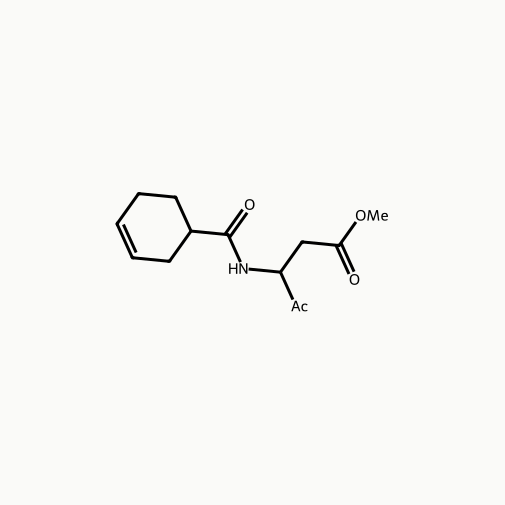 COC(=O)CC(NC(=O)C1CC=CCC1)C(C)=O